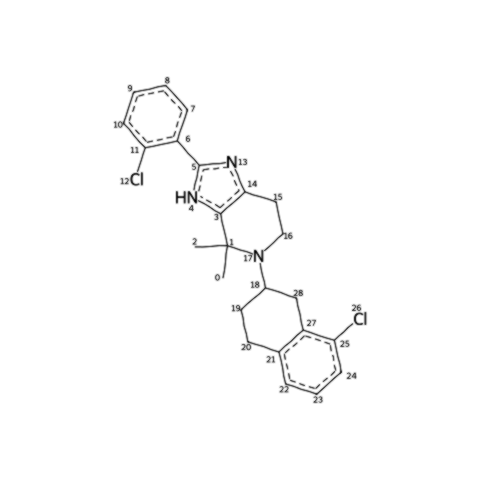 CC1(C)c2[nH]c(-c3ccccc3Cl)nc2CCN1C1CCc2cccc(Cl)c2C1